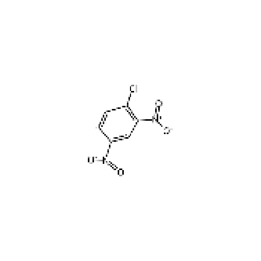 O=[N+]([O-])c1[c]cc(Cl)c([N+](=O)[O-])c1